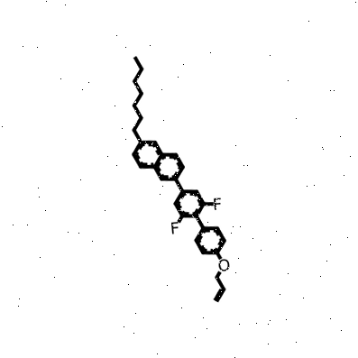 C=CCOc1ccc(-c2c(F)cc(-c3ccc4cc(CCCCCCC)ccc4c3)cc2F)cc1